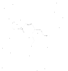 C=C(C#N)/C=C\C(/C=C/C)OCC(C)CC